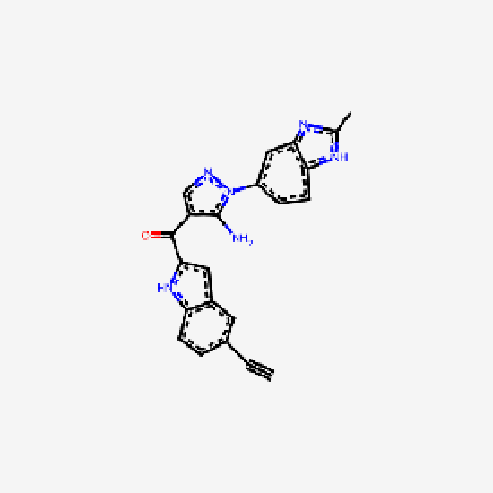 C#Cc1ccc2[nH]c(C(=O)c3cnn(-c4ccc5[nH]c(C)nc5c4)c3N)cc2c1